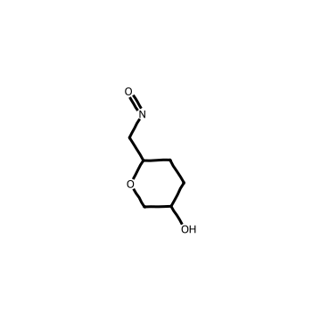 O=NCC1CCC(O)CO1